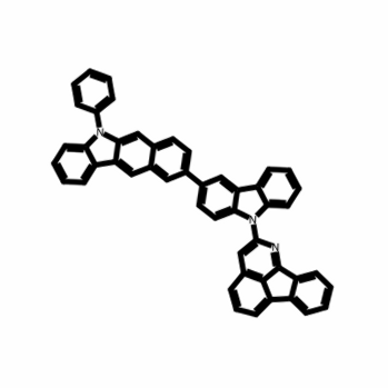 c1ccc(-n2c3ccccc3c3cc4cc(-c5ccc6c(c5)c5ccccc5n6-c5cc6cccc7c6c(n5)-c5ccccc5-7)ccc4cc32)cc1